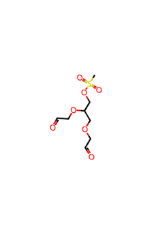 CS(=O)(=O)OCC(COCC=O)OCC=O